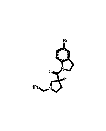 C[C](C)CN1CCC(F)(C(=O)N2CCc3cc(Br)ccc32)C1